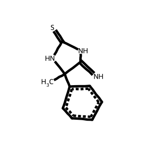 CC1(c2ccccc2)NC(=S)NC1=N